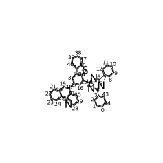 c1ccc(-c2nc(-c3ccccc3)nc(-c3cc(-c4cc5ccccc5c5ncccc45)cc4c3sc3ccccc34)n2)cc1